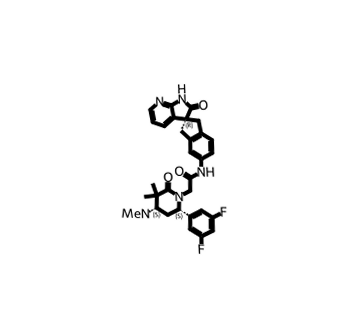 CN[C@H]1C[C@@H](c2cc(F)cc(F)c2)N(CC(=O)Nc2ccc3c(c2)C[C@@]2(C3)C(=O)Nc3ncccc32)C(=O)C1(C)C